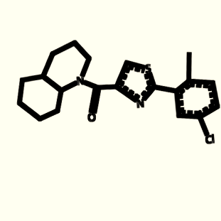 Cc1ccc(Cl)cc1-c1nc(C(=O)N2CCCC3CCCCC32)cs1